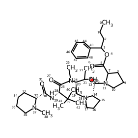 CCCC(OC(=O)C1CCCN1C(=O)[C@@H]1CCCN1C[C@H](C(C)C)N(C)C(=O)[C@@H](NC(=O)[C@H]1CCCCN1C)C(C)(C)C)c1ccccc1